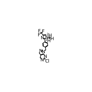 [2H]C([2H])([2H])n1cc(C(F)(F)F)nc1-c1ccc(Cn2ncc3cnc(Cl)nc32)cc1